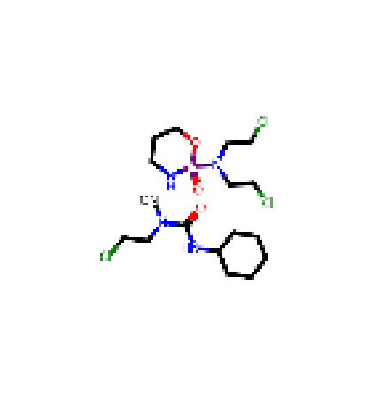 O=NN(CCCl)C(=O)NC1CCCCC1.O=P1(N(CCCl)CCCl)NCCCO1